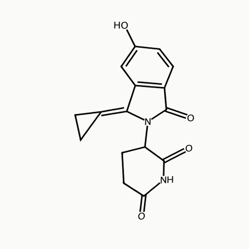 O=C1CCC(N2C(=O)c3ccc(O)cc3C2=C2CC2)C(=O)N1